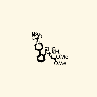 COC(CN(C)N(C=O)c1ccccc1C1CCN(C(=O)OC(C)(C)C)CC1)OC